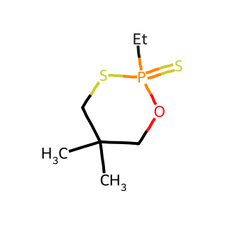 CCP1(=S)OCC(C)(C)CS1